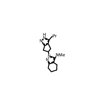 CNc1c2c(nn1C1Cc3n[nH]c(C(C)C)c3C1)CCCC2